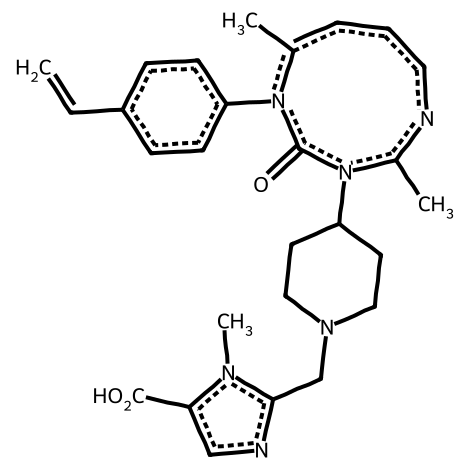 C=Cc1ccc(-n2c(C)cccnc(C)n(C3CCN(Cc4ncc(C(=O)O)n4C)CC3)c2=O)cc1